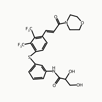 O=C(Nc1cccc(Sc2ccc(C=CC(=O)N3CCOCC3)c(C(F)(F)F)c2C(F)(F)F)c1)C(O)CO